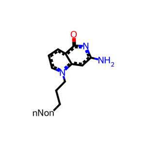 CCCCCCCCCCCCn1cccc2c(=O)nc(N)cc1-2